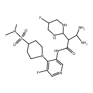 CN(C)S(=O)(=O)C1CCN(c2c(F)cncc2NC(=O)C(C(N)N)C2NCC(F)CN2)CC1